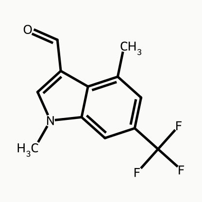 Cc1cc(C(F)(F)F)cc2c1c(C=O)cn2C